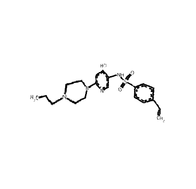 C=Cc1ccc(S(=O)(=O)Nc2ccc(N3CCN(CCC)CC3)nc2)cc1.Cl